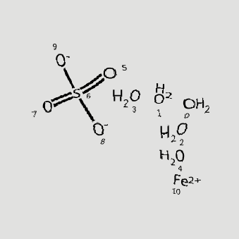 O.O.O.O.O.O=S(=O)([O-])[O-].[Fe+2]